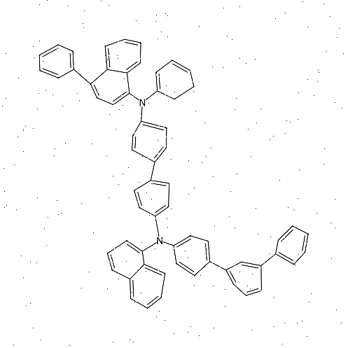 C1=CCCC(N(c2ccc(-c3ccc(N(c4ccc(-c5cccc(-c6ccccc6)c5)cc4)c4cccc5ccccc45)cc3)cc2)c2ccc(-c3ccccc3)c3ccccc23)=C1